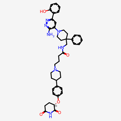 Nc1nnc(-c2ccccc2O)cc1N1CCC(CNC(=O)CCCN2CCC(c3ccc(O[C@H]4CCC(=O)NC4=O)cc3)CC2)(c2ccccc2)CC1